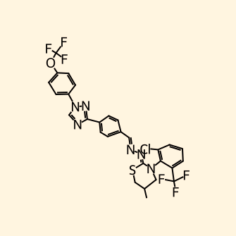 CC1CS/C(=N\N=C\c2ccc(-c3ncn(-c4ccc(OC(F)(F)F)cc4)n3)cc2)N(c2c(Cl)cccc2C(F)(F)F)C1